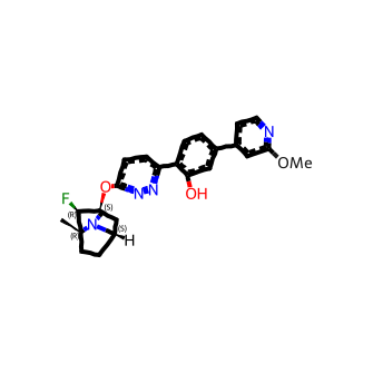 COc1cc(-c2ccc(-c3ccc(O[C@H]4C[C@@H]5CC[C@](C)([C@H]4F)N5C)nn3)c(O)c2)ccn1